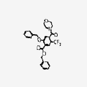 O=C(OCc1ccccc1)c1cc(C(F)(F)F)c(C(=O)N2CCOCC2)cc1OCc1ccccc1